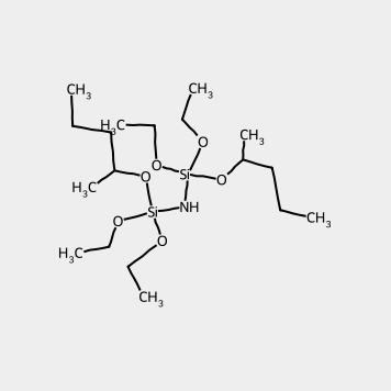 CCCC(C)O[Si](N[Si](OCC)(OCC)OC(C)CCC)(OCC)OCC